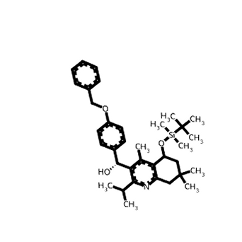 Cc1c2c(nc(C(C)C)c1[C@H](O)c1ccc(OCc3ccccc3)cc1)CC(C)(C)CC2O[Si](C)(C)C(C)(C)C